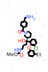 CCc1cccc(Oc2c(Cl)cccc2C(O)(CCCNC(=O)OC)[C@@H]2CCCN(C(=O)c3ccc(CN)cc3)C2)c1